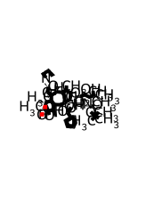 C=C1C2=C(C)[C@@H](OC(=O)[C@H](O)[C@@H](NC(=O)OC(C)(C)C)C(C)(C)C)C[C@@]1(O)[C@@H](OC(=O)c1ccccc1)[C@H]1[C@@](C)(CC[C@H]3OC[C@]31OC(C)=O)[C@@H]1O[C@H](CN3CCC3)O[C@H]21